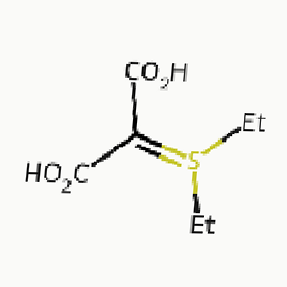 CCS(CC)=C(C(=O)O)C(=O)O